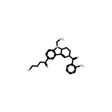 CCN1c2ccc(C(=O)CCCCl)cc2C2=CC(C(=O)c3ccccc3C)CCC21